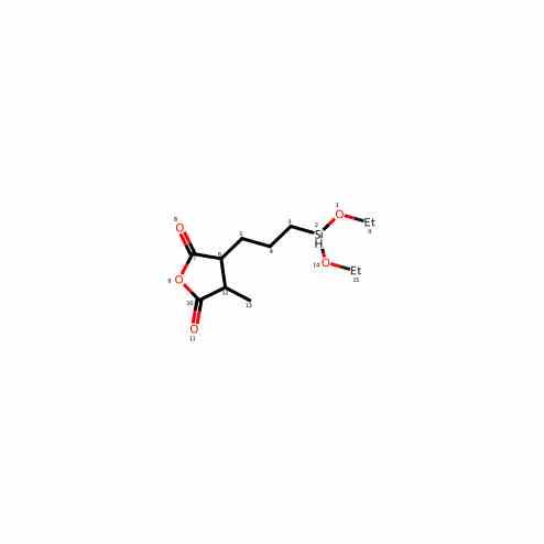 CCO[SiH](CCCC1C(=O)OC(=O)C1C)OCC